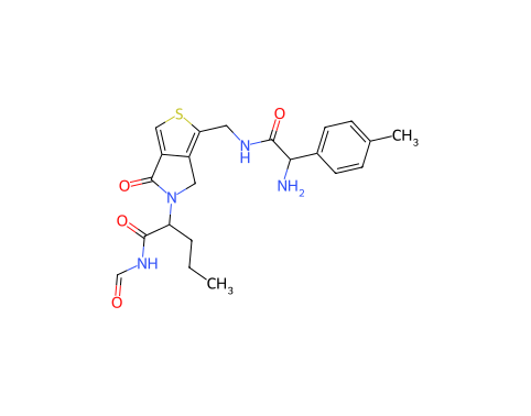 CCCC(C(=O)NC=O)N1Cc2c(csc2CNC(=O)C(N)c2ccc(C)cc2)C1=O